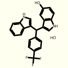 Cl.Oc1ccc2[nH]cc([C](c3ccc(C(F)(F)F)cc3)c3c[nH]c4ccccc34)c2c1